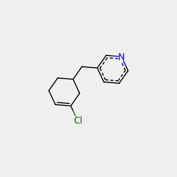 ClC1=CCCC(Cc2cccnc2)C1